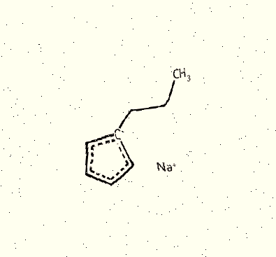 CCC[c-]1cccc1.[Na+]